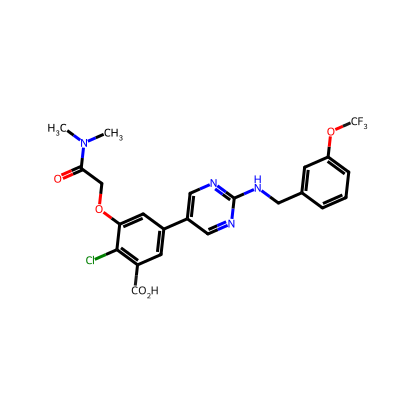 CN(C)C(=O)COc1cc(-c2cnc(NCc3cccc(OC(F)(F)F)c3)nc2)cc(C(=O)O)c1Cl